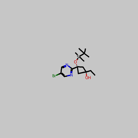 CC[C@]1(O)C[C@@](O[Si](C)(C)C(C)(C)C)(c2ncc(Br)cn2)C1